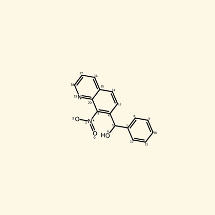 O=[N+]([O-])c1c(C(O)c2ccccc2)ccc2cccnc12